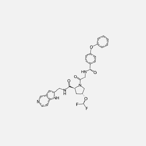 O=C(NCC(=O)N1C[C@H](OC(F)F)C[C@H]1C(=O)NCc1cc2cnccc2[nH]1)c1ccc(Oc2ccccc2)cc1